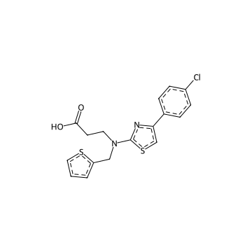 O=C(O)CCN(Cc1cccs1)c1nc(-c2ccc(Cl)cc2)cs1